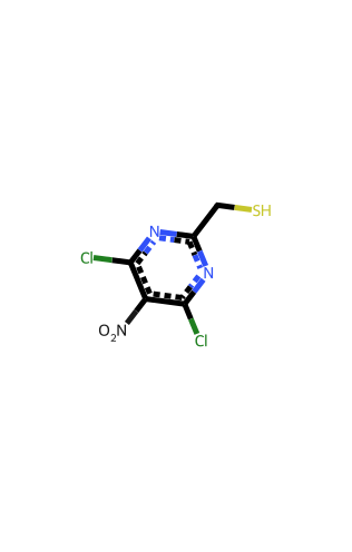 O=[N+]([O-])c1c(Cl)nc(CS)nc1Cl